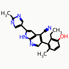 CCc1c(O)ccc(C)c1-c1cnc2[nH]c(-c3cnc(C)nc3)cc2c1C#N